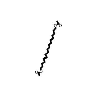 CC(=O)OCCCCC=CCCCCCCC=CCCCCOC(C)=O